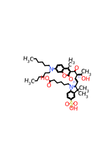 CCCCCCN(CCCCCC)c1ccc2c(C)c(C(=O)C(/C=C/C3=[N+](CCCCCC(=O)O)c4ccc(S(=O)(=O)O)cc4C3(C)C)=C(\C)O)c(=O)oc2c1